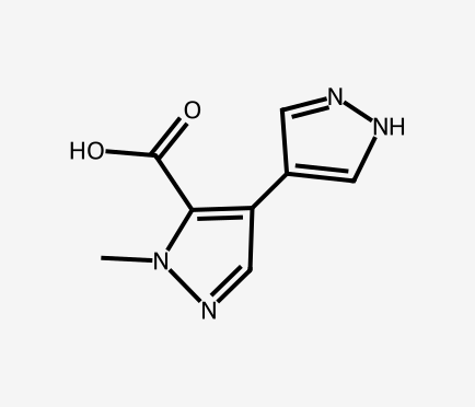 Cn1ncc(-c2cn[nH]c2)c1C(=O)O